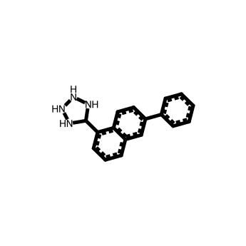 c1ccc(-c2ccc3c(C4NNNN4)cccc3c2)cc1